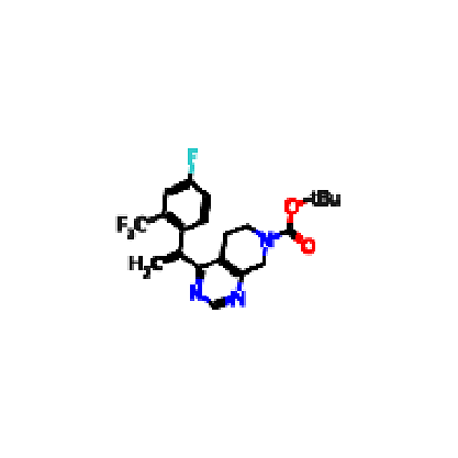 C=C(c1ccc(F)cc1C(F)(F)F)c1ncnc2c1CCN(C(=O)OC(C)(C)C)C2